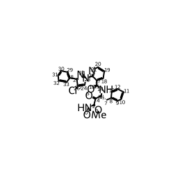 CONC(=O)C(=O)[C@@H](Cc1ccccc1)NC(=O)c1cccnc1-n1cc(Cl)c(-c2ccccc2)n1